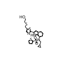 O=S(=O)(c1cccs1)N(CC1CC1)c1cccc2cc(-c3ncc(CSCCO)s3)[nH]c12